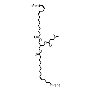 CCCCCC=CC/C=C\CCCCCCCC(=O)OCC(COC(=O)CCCCCCC/C=C\C/C=C\CCCCC)COC(=O)CCN(C)C